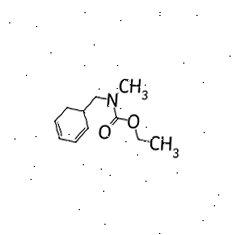 CCOC(=O)N(C)CC1C=CC=CC1